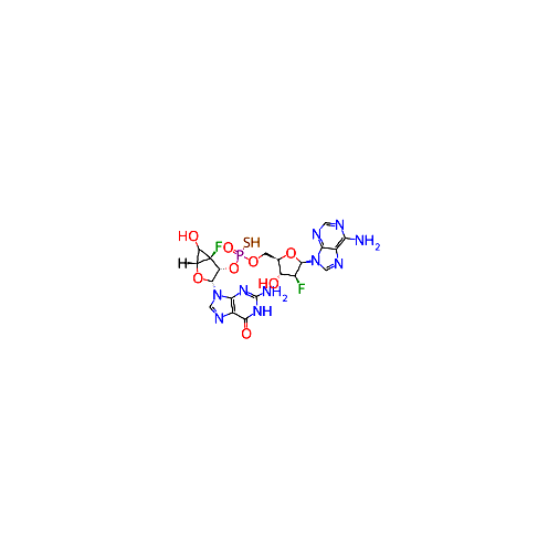 Nc1nc2c(ncn2[C@@H]2O[C@@H]3C(O)[C@]3(F)[C@@H]2OP(=O)(S)OC[C@H]2O[C@@H](n3cnc4c(N)ncnc43)[C@@H](F)[C@@H]2O)c(=O)[nH]1